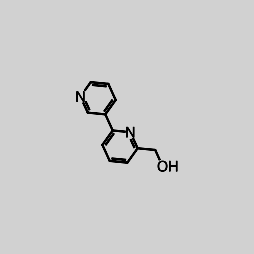 OCc1cccc(-c2cccnc2)n1